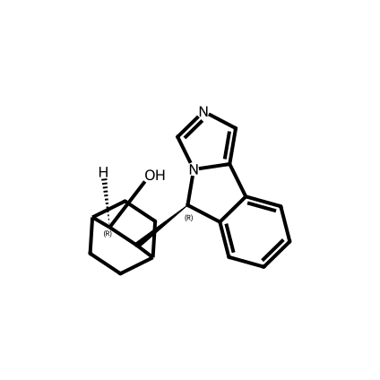 O[C@@H]1C2CCC(CC2)C1[C@@H]1c2ccccc2-c2cncn21